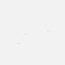 C[C@H](C(=O)O)C(c1cccc(OC[C@H]2C[C@@H]2c2ccc(Cl)c(C(F)(F)F)c2)c1)C1CC1